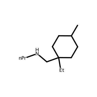 CCCNCC1(CC)CCC(C)CC1